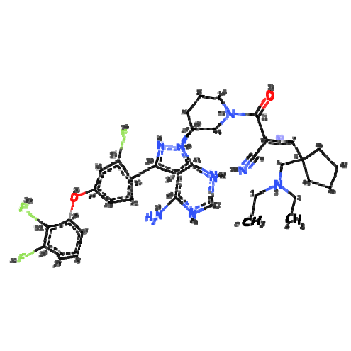 CCN(CC)CC1(/C=C(\C#N)C(=O)N2CCC[C@H](n3nc(-c4ccc(Oc5cccc(F)c5F)cc4F)c4c(N)ncnc43)C2)CCCC1